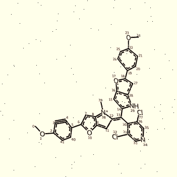 COc1c#cc(-c2cc3c(o2)=C/C(=C(/c2cc4oc(-c5ccc(OC)cc5)cc4[nH]2)c2c(Cl)cncc2Cl)[N+]=3C)cc1